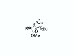 COCOc1[c]([Mg][Br])cc(C)cc1C(C)(C)C